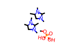 CC1CN(C)C(C)N1C.CC1CN(C)C(C)N1C.COP(=O)(O)O